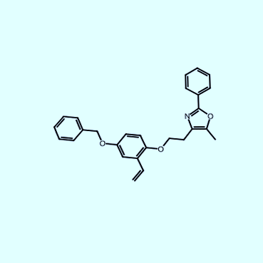 C=Cc1cc(OCc2ccccc2)ccc1OCCc1nc(-c2ccccc2)oc1C